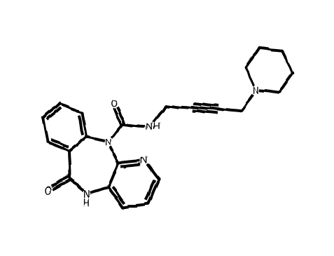 O=C1Nc2cccnc2N(C(=O)NCC#CCN2CCCCC2)c2ccccc21